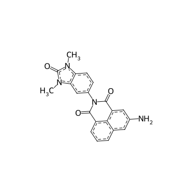 Cn1c(=O)n(C)c2cc(N3C(=O)c4cccc5cc(N)cc(c45)C3=O)ccc21